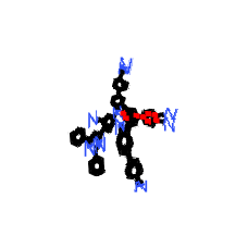 N#Cc1ccc(-c2ccc3c(c2)c2cc(-c4ccc(C#N)cc4)ccc2n3-c2cc(C#N)c(-c3cc(-c4ccccc4)nc(-c4ccccc4)n3)cc2-n2c3ccc(-c4ccc(C#N)cc4)cc3c3cc(-c4ccc(C#N)cc4)ccc32)cc1